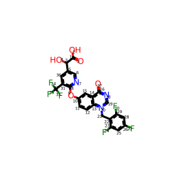 O=C(O)C(O)c1cnc(Oc2ccc3c(c2)c(=O)ncn3Cc2c(F)cc(F)cc2F)c(C(F)(F)F)c1